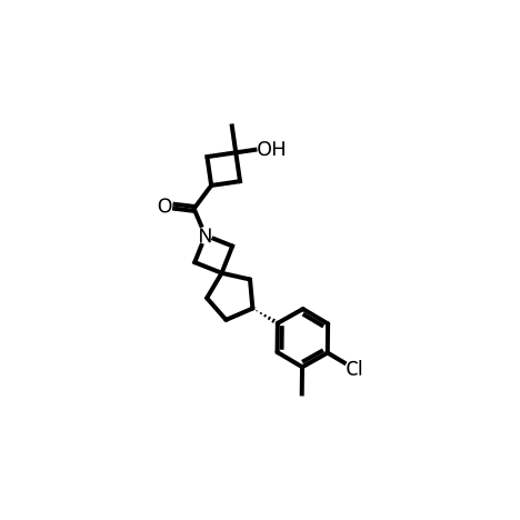 Cc1cc([C@@H]2CCC3(C2)CN(C(=O)C2CC(C)(O)C2)C3)ccc1Cl